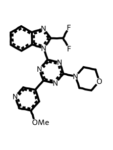 COc1cncc(-c2nc(N3CCOCC3)nc(-n3c(C(F)F)nc4ccccc43)n2)c1